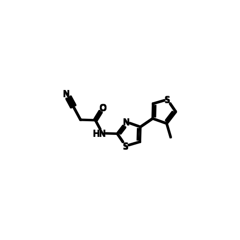 Cc1cscc1-c1csc(NC(=O)CC#N)n1